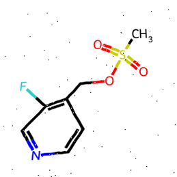 CS(=O)(=O)OCc1ccncc1F